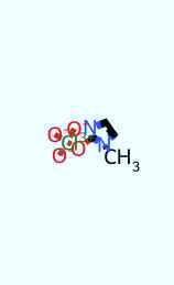 Cn1ccnc1O[Cl+3]([O-])([O-])[O-]